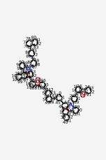 c1cc(-c2cccc(N(c3ccc(-c4cccc5c4oc4ccccc45)cc3)c3ccccc3-c3cccc4ccccc34)c2)cc(-c2cccc3cc(-c4ccc5oc6c(-c7ccc(N(c8cccc(-c9ccc(-c%10cccc%11ccccc%10%11)cc9)c8)c8ccccc8-c8cccc9ccccc89)cc7)cccc6c5c4)ccc23)c1